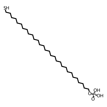 O=P(O)(O)OCCCCCCCCCCCCCCCCCCCCCCCCCCCCCCS